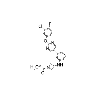 C=CC(=O)N1CC(Nc2cncc(-c3cnc(Oc4ccc(F)c(Cl)c4)nc3)c2)C1